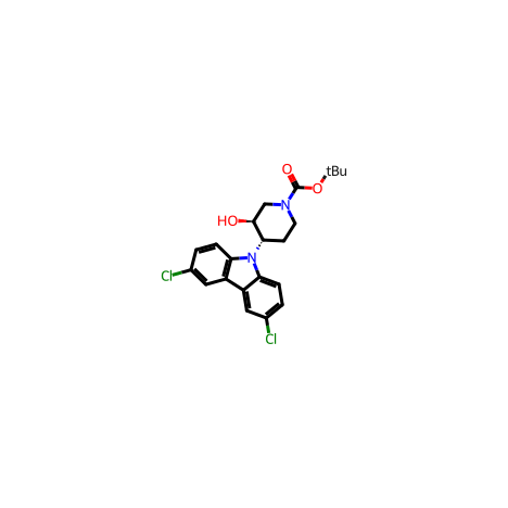 CC(C)(C)OC(=O)N1CC[C@H](n2c3ccc(Cl)cc3c3cc(Cl)ccc32)[C@@H](O)C1